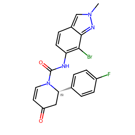 Cn1cc2ccc(NC(=O)N3C=CC(=O)C[C@H]3c3ccc(F)cc3)c(Br)c2n1